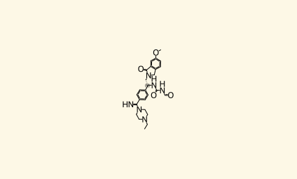 CCN1CCN(C(=N)c2ccc([C@H](CN3Cc4ccc(OC)cc4C3=O)NC(=O)NC=O)cc2)CC1